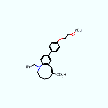 CCCCOCCOc1ccc(-c2ccc3c(c2)C=C(C(=O)O)CCCCN3CC(C)C)cc1